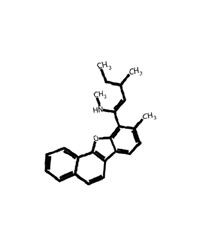 CCC(C)/C=C(\NC)c1c(C)ccc2c1oc1c3ccccc3ccc21